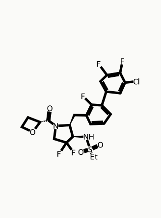 CCS(=O)(=O)N[C@@H]1[C@H](Cc2cccc(-c3cc(F)c(F)c(Cl)c3)c2F)N(C(=O)[C@H]2CCO2)CC1(F)F